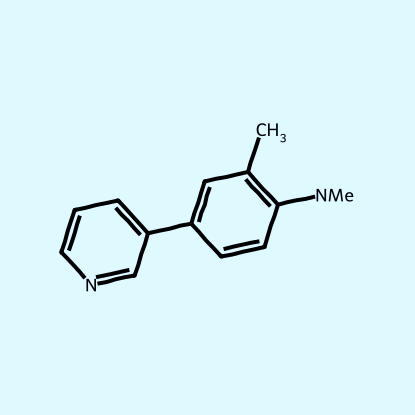 CNc1ccc(-c2cccnc2)cc1C